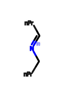 CCC/C=N/CCCC